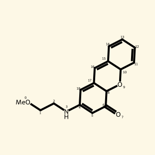 COCCNC1=CC(=O)C2OC3C=CC=CC3=CC2=C1